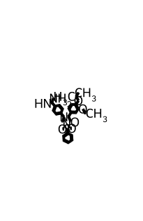 CCOc1cc(C2C(=O)N(S(=O)(=O)c3ccccc3)CN2c2ccc(C(=N)N)cc2)ccc1OC(C)C